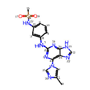 Cc1cn(-c2nc(Nc3cccc(NS(C)(=O)=O)c3)nc3[nH]cnc23)cn1